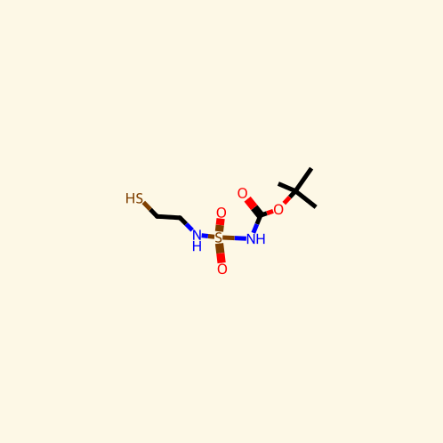 CC(C)(C)OC(=O)NS(=O)(=O)NCCS